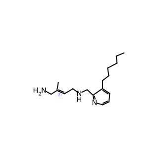 CCCCCCc1cccnc1CNC/C=C(\C)CN